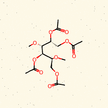 CO[C@@H]([C@H](OC(C)=O)[C@H](COC(C)=O)OC)[C@@H](COC(C)=O)OC(C)=O